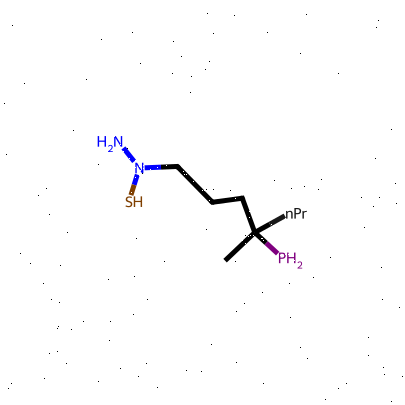 CCCC(C)(P)CCCN(N)S